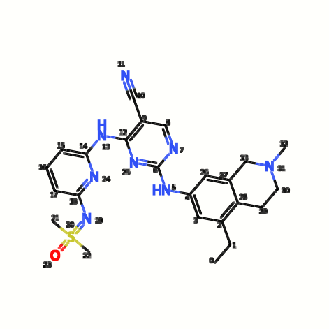 CCc1cc(Nc2ncc(C#N)c(Nc3cccc(N=S(C)(C)=O)n3)n2)cc2c1CCN(C)C2